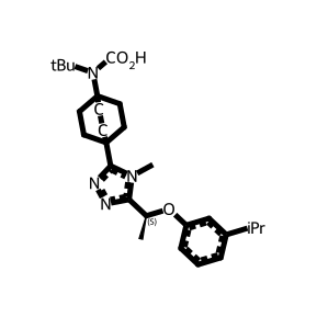 CC(C)c1cccc(O[C@@H](C)c2nnc(C34CCC(N(C(=O)O)C(C)(C)C)(CC3)CC4)n2C)c1